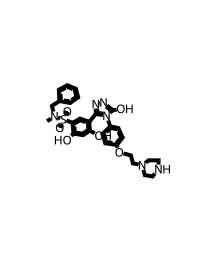 CN(Cc1ccccc1)S(=O)(=O)c1cc(-c2nnc(O)n2-c2ccc(OCCN3CCNCC3)cc2)c(O)cc1O